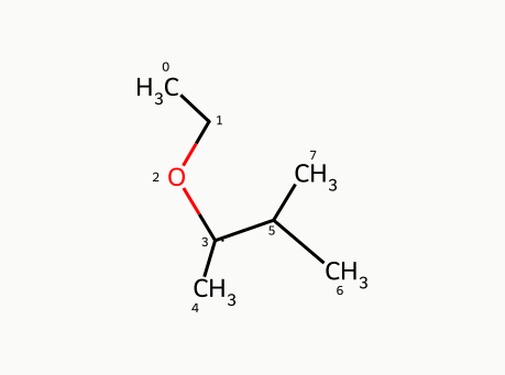 CCO[C](C)C(C)C